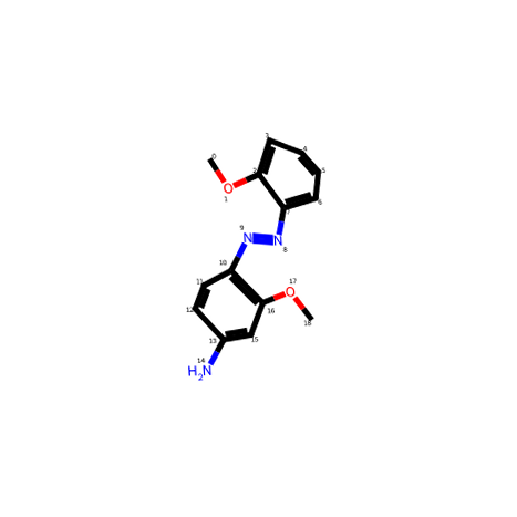 COc1ccccc1N=Nc1ccc(N)cc1OC